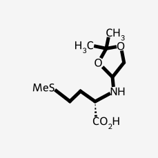 CSCC[C@H](NC1COC(C)(C)O1)C(=O)O